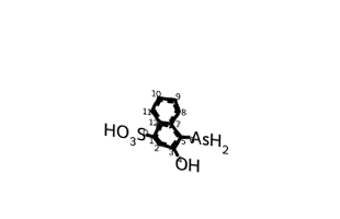 O=S(=O)(O)c1cc(O)c([AsH2])c2ccccc12